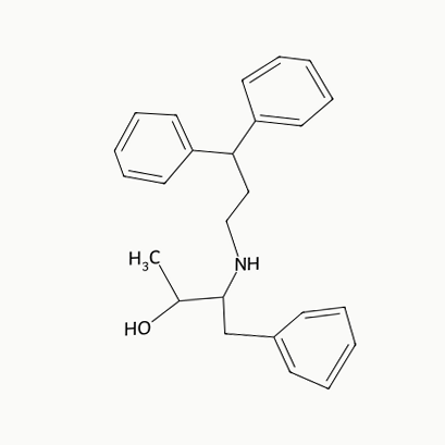 CC(O)C(Cc1ccccc1)NCCC(c1ccccc1)c1ccccc1